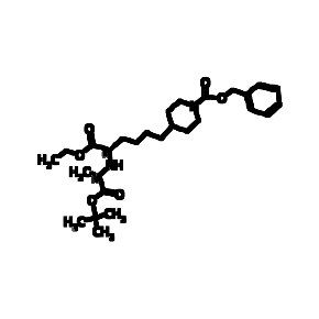 CCOC(=O)[C@@H](CCCCC1CCN(C(=O)OCc2ccccc2)CC1)N[C@@H](C)C(=O)OC(C)(C)C